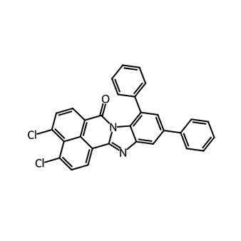 O=c1c2ccc(Cl)c3c(Cl)ccc(c32)c2nc3cc(-c4ccccc4)cc(-c4ccccc4)c3n12